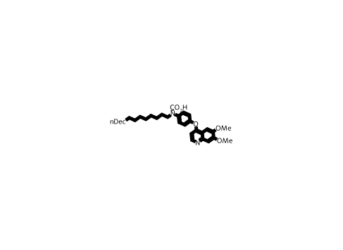 CCCCCCCCCCCCCCCCCCN(C(=O)O)c1ccc(Oc2ccnc3cc(OC)c(OC)cc23)cc1